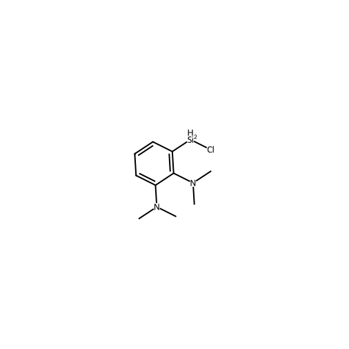 CN(C)c1cccc([SiH2]Cl)c1N(C)C